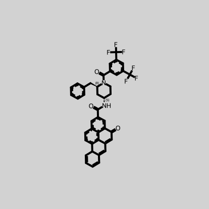 O=C(N[C@H]1CCN(C(=O)c2cc(C(F)(F)F)cc(C(F)(F)F)c2)[C@H](Cc2ccccc2)C1)c1cc2c3c4c(ccc3c1)C1C=CC=CC1=CC4=CC2=O